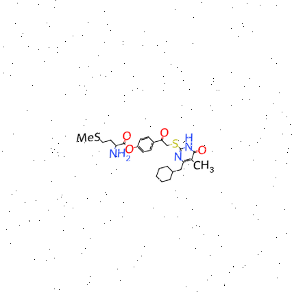 CSCCC(N)C(=O)Oc1ccc(C(=O)CSc2nc(CC3CCCCC3)c(C)c(=O)[nH]2)cc1